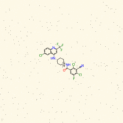 N#Cc1c(Cl)c(F)cc(C(=O)N[Si@H]2CC[C@@H](Nc3cc(C(F)(F)F)nc4ccc(Cl)cc34)CC2)c1Cl